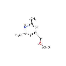 Cc1cc(CO[C]=O)cc(C)n1